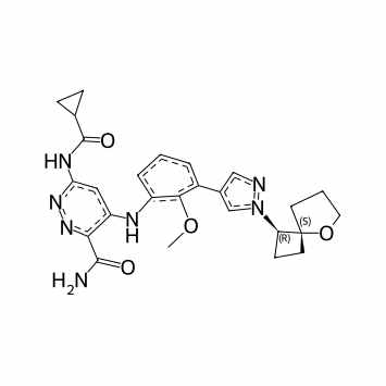 COc1c(Nc2cc(NC(=O)C3CC3)nnc2C(N)=O)cccc1-c1cnn([C@@H]2CC[C@]23CCCO3)c1